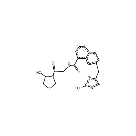 Cn1ncc(Cc2ccc3nccc(C(=O)NCC(=O)N4CSCC4C#N)c3c2)n1